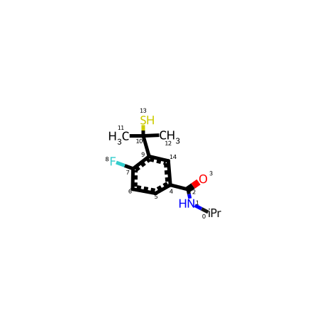 CC(C)NC(=O)c1ccc(F)c(C(C)(C)S)c1